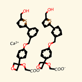 O=C([O-])COC1(c2ccc(OCc3cccc(-c4ccc(CO)s4)c3)cc2)COC1.O=C([O-])COC1(c2ccc(OCc3cccc(-c4ccc(CO)s4)c3)cc2)COC1.[Ca+2]